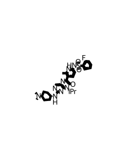 Cc1nc(NS(=O)(=O)c2ccccc2F)ccc1-c1nc2cnc(N[C@H]3CC[C@H](N(C)C)CC3)nc2n(C(C)C)c1=O